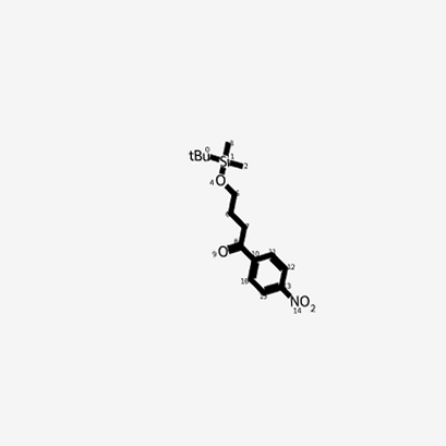 CC(C)(C)[Si](C)(C)OCCCC(=O)c1ccc([N+](=O)[O-])cc1